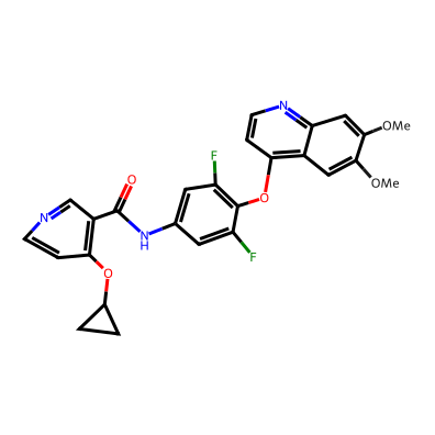 COc1cc2nccc(Oc3c(F)cc(NC(=O)c4cnccc4OC4CC4)cc3F)c2cc1OC